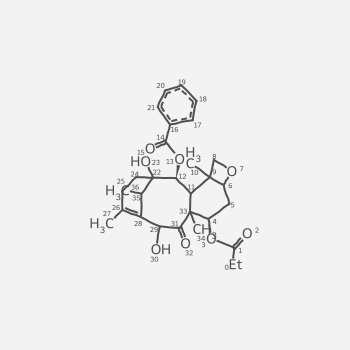 CCC(=O)OC1CC2OCC2(C)C2[C@H](OC(=O)c3ccccc3)C3(O)CCC(C)=C(C(O)C(=O)C12C)C3C